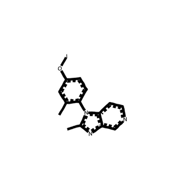 Cc1cc(OI)ccc1-n1c(C)nc2cnccc21